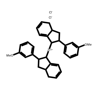 COc1cccc(C2CC3CC=CC=C3[CH]2[Zr+2][CH]2C3=CC=CCC3CC2c2cccc(OC)c2)c1.[Cl-].[Cl-]